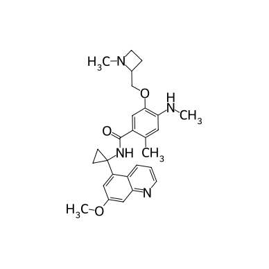 CNc1cc(C)c(C(=O)NC2(c3cc(OC)cc4ncccc34)CC2)cc1OCC1CCN1C